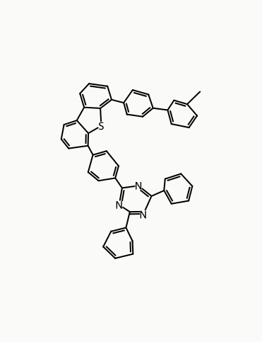 Cc1cccc(-c2ccc(-c3cccc4c3sc3c(-c5ccc(-c6nc(-c7ccccc7)nc(-c7ccccc7)n6)cc5)cccc34)cc2)c1